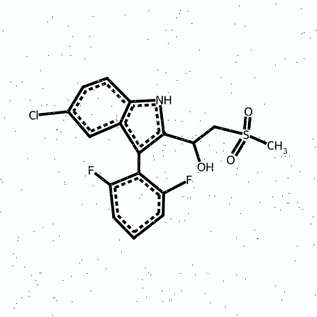 CS(=O)(=O)CC(O)c1[nH]c2ccc(Cl)cc2c1-c1c(F)cccc1F